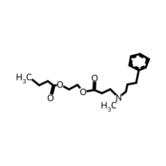 CCCC(=O)OCCOC(=O)CCN(C)CCCc1ccccc1